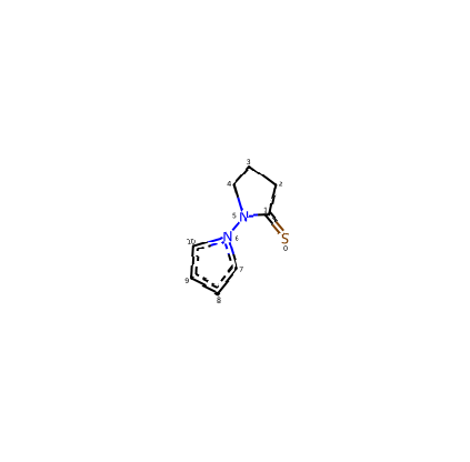 S=C1CCCN1n1cccc1